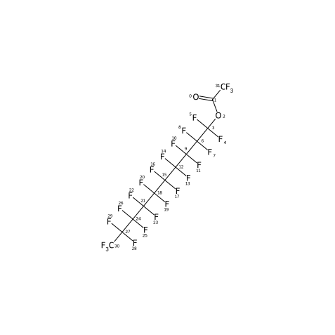 O=C(OC(F)(F)C(F)(F)C(F)(F)C(F)(F)C(F)(F)C(F)(F)C(F)(F)C(F)(F)C(F)(F)C(F)(F)F)C(F)(F)F